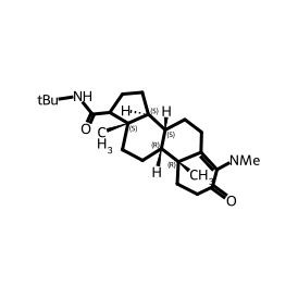 CNC1=C2CC[C@@H]3[C@@H](CC[C@]4(C)C(C(=O)NC(C)(C)C)CC[C@@H]34)[C@@]2(C)CCC1=O